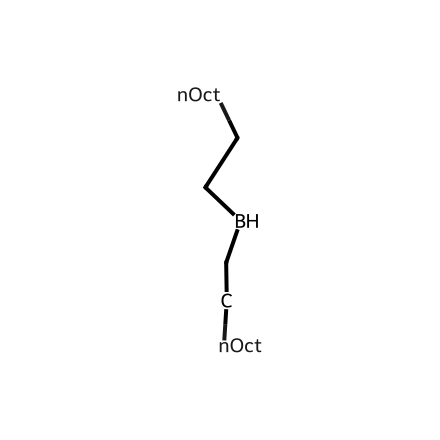 CCCCCCCCCCBCCCCCCCCCC